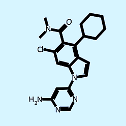 CN(C)C(=O)c1c(Cl)cc2c(ccn2-c2cc(N)ncn2)c1C1CCCCC1